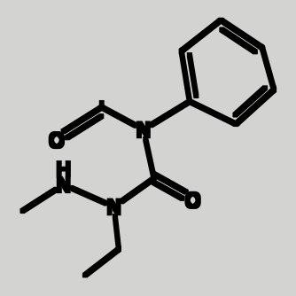 CCN(NC)C(=O)N([C]=O)c1ccccc1